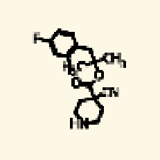 CC(C)(Cc1ccc(F)cc1F)OC(=O)C1(C#N)CCNCC1